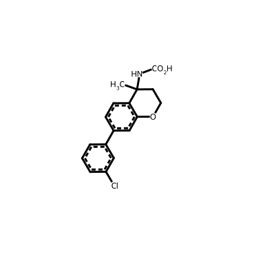 CC1(NC(=O)O)CCOc2cc(-c3cccc(Cl)c3)ccc21